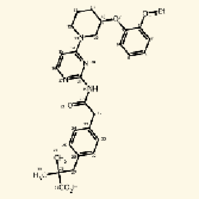 CCOc1ccccc1O[C@@H]1CCCN(c2ccnc(NC(=O)Cc3ccc(CC(C)(C)C(=O)O)cc3)n2)C1